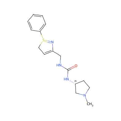 CN1CC[C@@H](NC(=O)NCC2=CCS(c3ccccc3)=N2)C1